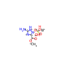 COC(=O)c1n[nH]c(N)n1.O=S(=O)(O)O.[H+]